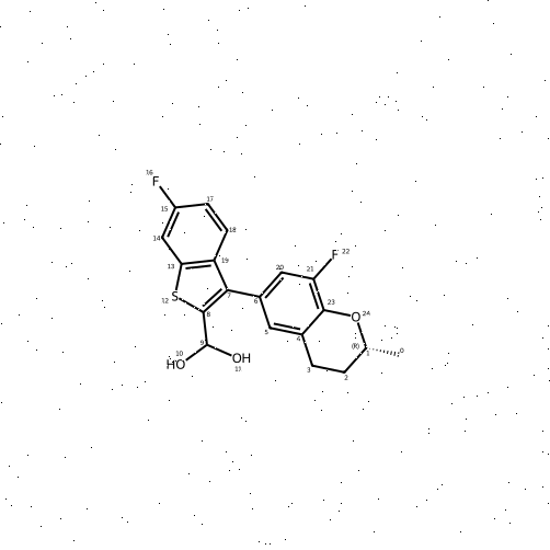 C[C@@H]1CCc2cc(-c3c(C(O)O)sc4cc(F)ccc34)cc(F)c2O1